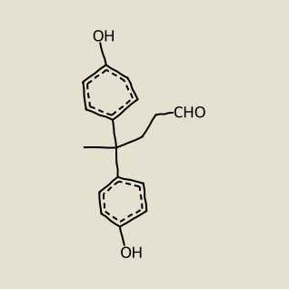 CC(CCC=O)(c1ccc(O)cc1)c1ccc(O)cc1